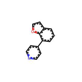 [c]1cc(-c2ccncc2)c2occc2c1